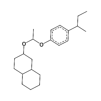 CCC(C)c1ccc(OC(C)OC2CCC3CCCCC3C2)cc1